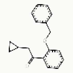 O=C(CC1CC1)c1ccccc1OCc1ccccc1